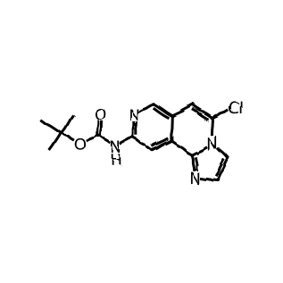 CC(C)(C)OC(=O)Nc1cc2c(cn1)cc(Cl)n1ccnc21